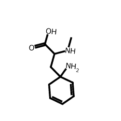 CNC(CC1(N)C=CC=CC1)C(=O)O